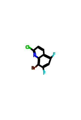 Fc1cc(F)c2ccc(Cl)nc2c1Br